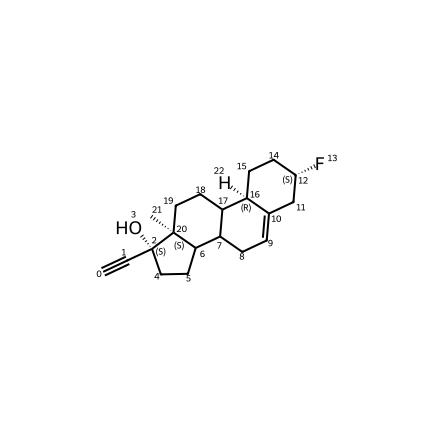 C#C[C@]1(O)CCC2C3CC=C4C[C@@H](F)CC[C@@H]4C3CC[C@@]21C